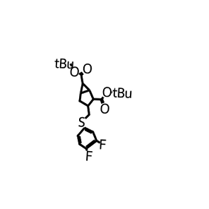 CC(C)(C)OC(=O)C1C(CSc2ccc(F)c(F)c2)CC2C(C(=O)OC(C)(C)C)C21